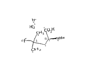 CN[C@@H](CC(C)(C)F)C(=O)O.Cl.[H+]